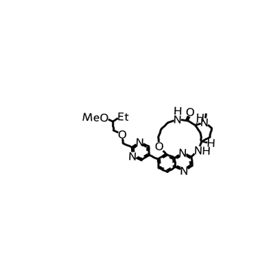 CCC(COCc1ncc(-c2ccc3ncc4nc3c2OCCCNC(=O)[C@@H]2C[C@H](CCN2C)N4)cn1)OC